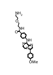 COc1ccc(-c2cnc3c(Nc4ccc(C(=O)NCCOCCN)cc4)nccn23)cc1